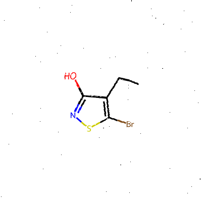 CCc1c(O)nsc1Br